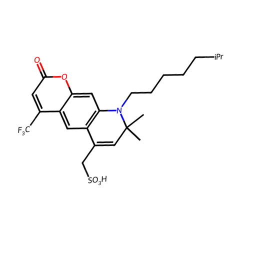 CC(C)CCCCCN1c2cc3oc(=O)cc(C(F)(F)F)c3cc2C(CS(=O)(=O)O)=CC1(C)C